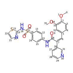 COc1ccc(C=C(C(=O)Nc2ccc(S(=O)(=O)Nc3nccs3)cc2)c2cccnc2)cc1OC